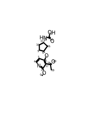 COc1nccc(O[C@@H]2CC[C@H](NC(=O)O)C2)c1C(C)=O